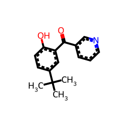 CC(C)(C)c1ccc(O)c(C(=O)c2cccnc2)c1